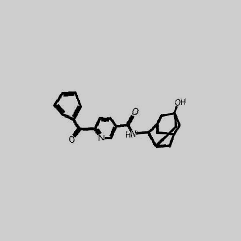 O=C(NC1C2CC3CC1CC(O)(C3)C2)c1ccc(C(=O)c2ccccc2)nc1